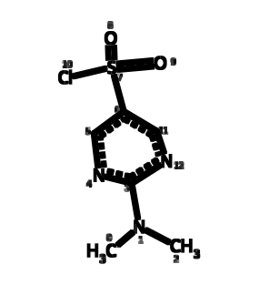 CN(C)c1ncc(S(=O)(=O)Cl)cn1